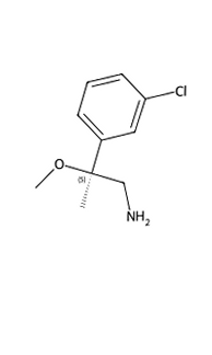 CO[C@](C)(CN)c1cccc(Cl)c1